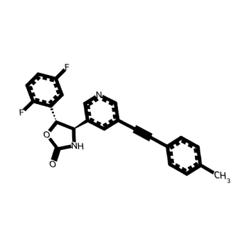 Cc1ccc(C#Cc2cncc([C@H]3NC(=O)O[C@@H]3c3cc(F)ccc3F)c2)cc1